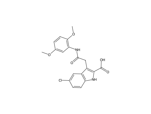 COc1ccc(OC)c(NC(=O)Cc2c(C(=O)O)[nH]c3ccc(Cl)cc23)c1